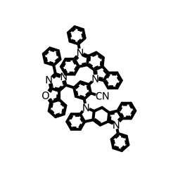 N#Cc1c(N2c3ccccc3C3=Cc4c(c5ccccc5n4-c4ccccc4)CC32)cc(-c2nc(-c3ccccc3)nc3oc4ccccc4c23)cc1-n1c2ccccc2c2ccc3c(c4ccccc4n3-c3ccccc3)c21